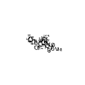 COC(=O)c1cn2c(cc1=O)-c1cc(Cl)c(OCc3ccccc3)cc1[C@H]1CCC(C)(C)N12